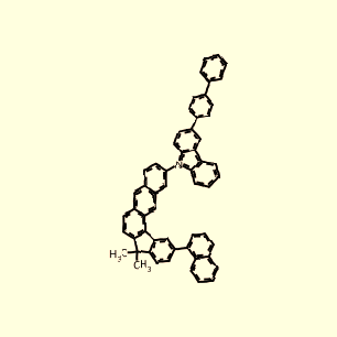 CC1(C)c2ccc(-c3cccc4ccccc34)cc2-c2c1ccc1cc3ccc(-n4c5ccccc5c5cc(-c6ccc(-c7ccccc7)cc6)ccc54)cc3cc21